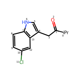 CC(C)C(=O)Cc1c[nH]c2ccc(Cl)cc12